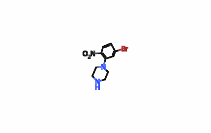 O=[N+]([O-])c1ccc(Br)cc1N1CCNCC1